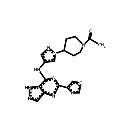 CC(=O)N1CCC(n2cc(Nc3nc(-c4cocn4)nc4cn[nH]c34)cn2)CC1